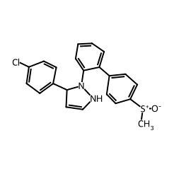 C[S+]([O-])c1ccc(-c2ccccc2N2NC=CC2c2ccc(Cl)cc2)cc1